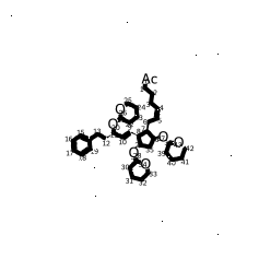 CC(=O)CCC/C=C\C[C@@H]1[C@@H](/C=C/[C@H](CCc2ccccc2)OC2CCCCO2)[C@H](OC2CCCCO2)C[C@@H]1OC1CCCCO1